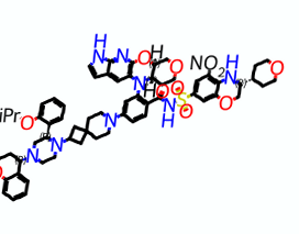 CC(C)Oc1ccccc1[C@@H]1CN([C@@H]2CCOc3ccccc32)CCN1C1CC2(CCN(c3ccc(C(=O)NS(=O)(=O)c4cc5c(c([N+](=O)[O-])c4)N[C@H](C4CCOCC4)CO5)c(N4c5cc6cc[nH]c6nc5O[C@H]5COCC[C@@H]54)c3)CC2)C1